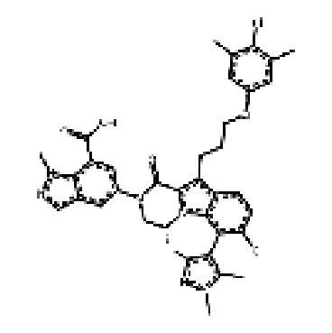 Cc1cc(OCCCc2c3n(c4c(-c5c(C)nn(C)c5C)c(Cl)ccc24)[C@H](C)CN(c2cc(C(=O)O)c4c(cnn4C)c2)C3=O)cc(C)c1Cl